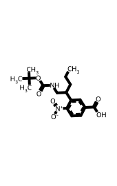 CCCC(CNC(=O)OC(C)(C)C)c1cc(C(=O)O)ccc1[N+](=O)[O-]